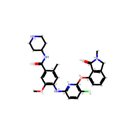 COc1cc(C(=O)NC2CCNCC2)c(C)cc1Nc1ccc(Cl)c(Oc2cccc3c2C(=O)N(C)C3)n1